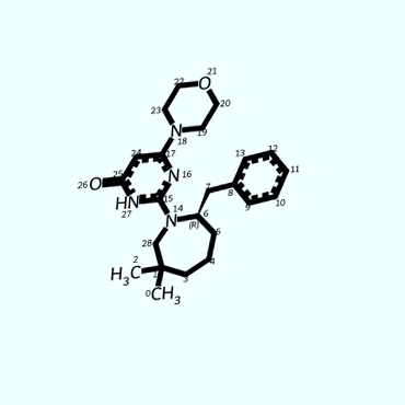 CC1(C)CCC[C@H](Cc2ccccc2)N(c2nc(N3CCOCC3)cc(=O)[nH]2)C1